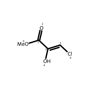 COC(=O)C(O)=CCl